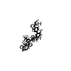 CCNC(=O)c1ccc(-c2cc(NC(=O)Nc3cc(C(C)(C)C)sc3C(=O)N3CCN(C)C(=O)C3(C)C)ccc2C)cn1